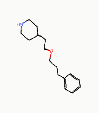 c1ccc(CCCOCCC2CCNCC2)cc1